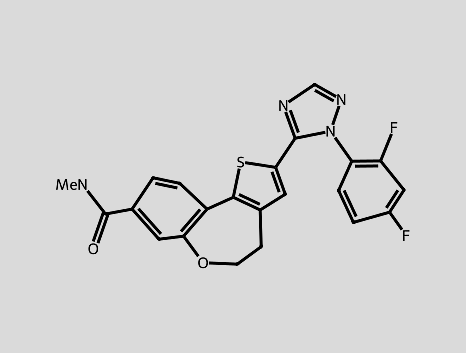 CNC(=O)c1ccc2c(c1)OCCc1cc(-c3ncnn3-c3ccc(F)cc3F)sc1-2